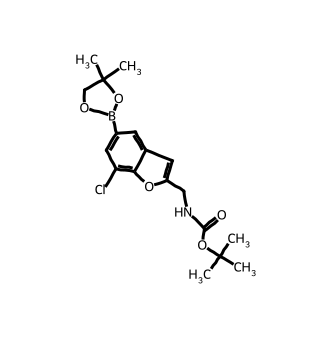 CC(C)(C)OC(=O)NCc1cc2cc(B3OCC(C)(C)O3)cc(Cl)c2o1